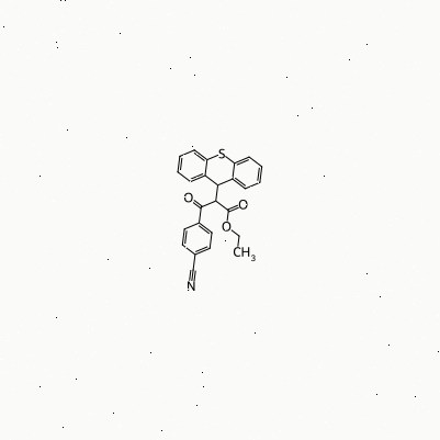 CCOC(=O)C(C(=O)c1ccc(C#N)cc1)C1c2ccccc2Sc2ccccc21